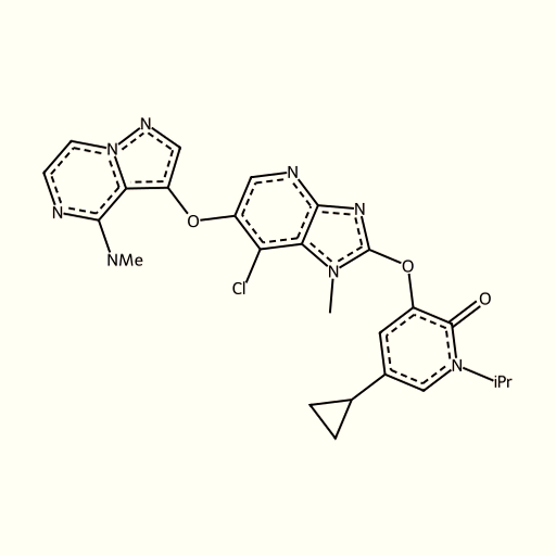 CNc1nccn2ncc(Oc3cnc4nc(Oc5cc(C6CC6)cn(C(C)C)c5=O)n(C)c4c3Cl)c12